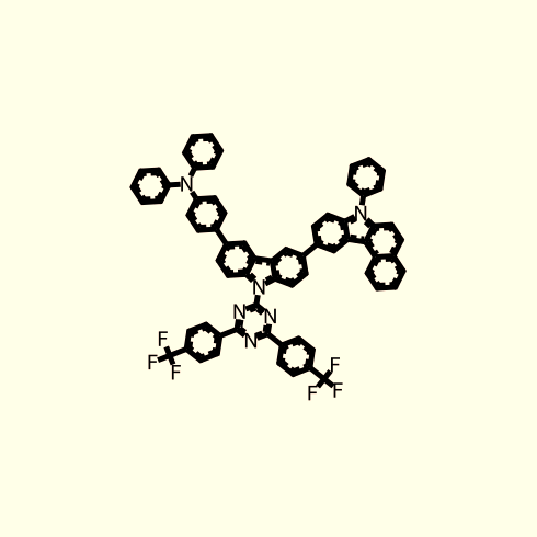 FC(F)(F)c1ccc(-c2nc(-c3ccc(C(F)(F)F)cc3)nc(-n3c4ccc(-c5ccc(N(c6ccccc6)c6ccccc6)cc5)cc4c4cc(-c5ccc6c(c5)c5c7ccccc7ccc5n6-c5ccccc5)ccc43)n2)cc1